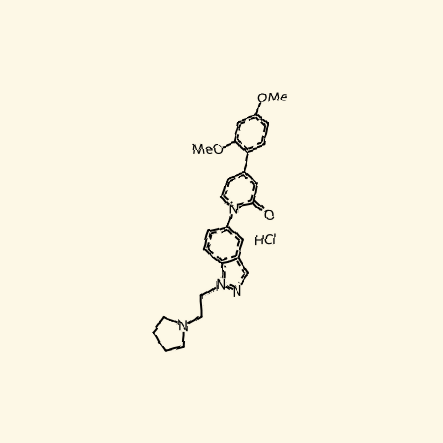 COc1ccc(-c2ccn(-c3ccc4c(cnn4CCN4CCCC4)c3)c(=O)c2)c(OC)c1.Cl